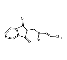 CC=CB(Br)CN1C(=O)c2ccccc2C1=O